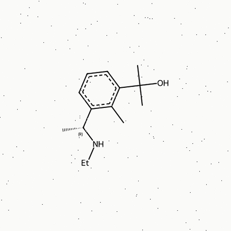 CCN[C@H](C)c1cccc(C(C)(C)O)c1C